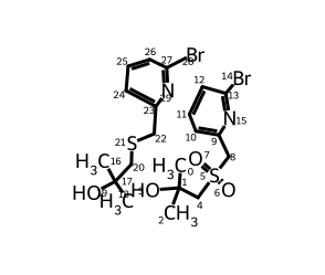 CC(C)(O)CS(=O)(=O)Cc1cccc(Br)n1.CC(C)(O)CSCc1cccc(Br)n1